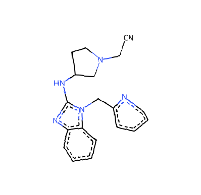 N#CCN1CCC(Nc2nc3ccccc3n2Cc2ccccn2)C1